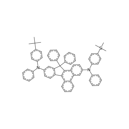 CC(C)(C)c1ccc(N(c2ccccc2)c2ccc3c(c2)C(c2ccccc2)(c2ccccc2)c2c-3c3ccccc3c3cc(N(c4ccccc4)c4ccc([Si](C)(C)C)cc4)ccc23)cc1